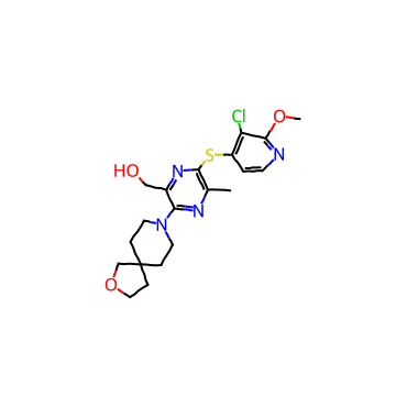 COc1nccc(Sc2nc(CO)c(N3CCC4(CCOC4)CC3)nc2C)c1Cl